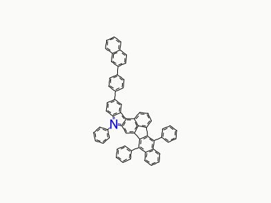 c1ccc(-c2c3c(c(-c4ccccc4)c4ccccc24)-c2cc4c(c5cccc-3c25)c2cc(-c3ccc(-c5ccc6ccccc6c5)cc3)ccc2n4-c2ccccc2)cc1